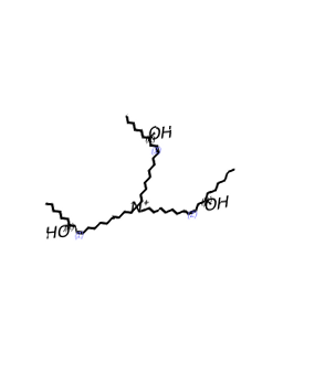 CCCCCC[C@@H](O)C/C=C\CCCCCCCC[N+](C)(CCCCCCCC/C=C\C[C@H](O)CCCCCC)CCCCCCCC/C=C\C[C@H](O)CCCCCC